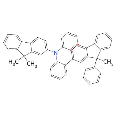 CC1(C)c2ccccc2-c2ccc(N(c3ccccc3)c3ccccc3-c3ccc4c(c3)C(C)(c3ccccc3)c3ccccc3-4)cc21